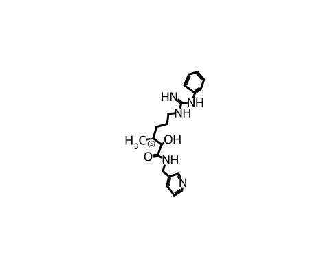 C[C@@H](CCCNC(=N)Nc1ccccc1)C(O)C(=O)NCc1cccnc1